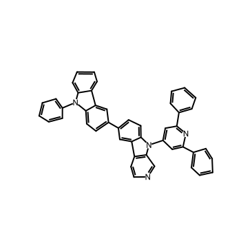 c1ccc(-c2cc(-n3c4ccc(-c5ccc6c(c5)c5ccccc5n6-c5ccccc5)cc4c4ccncc43)cc(-c3ccccc3)n2)cc1